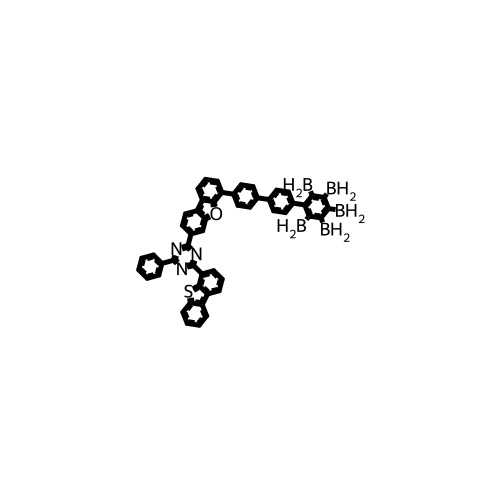 Bc1c(B)c(B)c(-c2ccc(-c3ccc(-c4cccc5c4oc4cc(-c6nc(-c7ccccc7)nc(-c7cccc8c7sc7ccccc78)n6)ccc45)cc3)cc2)c(B)c1B